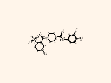 CCN1CCN(S(C)(=O)=O)[C@@H](C(=O)N2CCN(C(=O)Nc3ccc(Cl)c(Cl)c3)CC2)C1